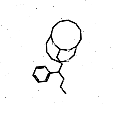 [CH2]CCC(CC[C]1OC2CCCCCCC(COCCCC2)O1)c1ccccc1